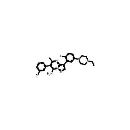 CCN1CCN(c2ccc(F)c(-c3cnn4c(N)c(-c5cccc(Cl)c5)c(C)nc34)c2)CC1